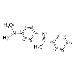 C/C(=N\c1ccc(N(C)C)cc1)c1ccccc1